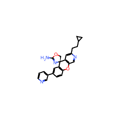 NC1=N[C@@]2(CO1)c1cc(-c3cccnc3)ccc1Oc1cnc(CCC3CC3)cc12